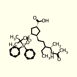 CCC(CC[C@@H]1C[C@@H](C(=O)O)C[C@H]1CO[Si](c1ccccc1)(c1ccccc1)C(C)(C)C)[C@H](C)NC(C)=O